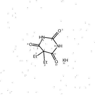 CCC1(CC)C(=O)NC(=O)NC1=O.[KH]